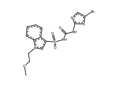 COCCn1cc(S(=O)(=O)NC(=O)Nc2ncc(Br)s2)c2ccccc21